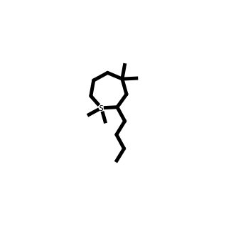 CCCCC1CC(C)(C)CCCS1(C)C